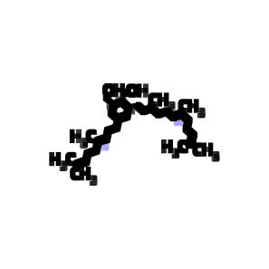 C=C(CC/C=C(\C)CCC=C(C)C)CC[C@@H]1C=C(CC/C=C(\C)CCC=C(C)C)C[C@@H](CO)[C@@H]1CO